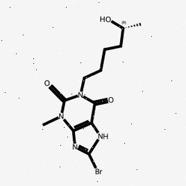 C[C@@H](O)CCCCn1c(=O)c2[nH]c(Br)nc2n(C)c1=O